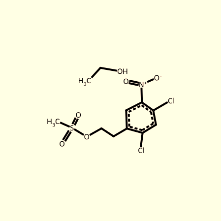 CCO.CS(=O)(=O)OCCc1cc([N+](=O)[O-])c(Cl)cc1Cl